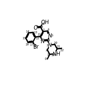 CC1CN(c2ncc(C(=O)O)c(-c3ccccc3Br)n2)CC(C)N1